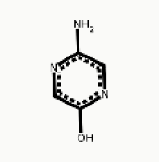 Nc1cnc(O)cn1